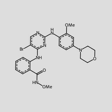 CONC(=O)c1ccccc1Nc1nc(Nc2ccc(N3CCOCC3)cc2OC)ncc1Br